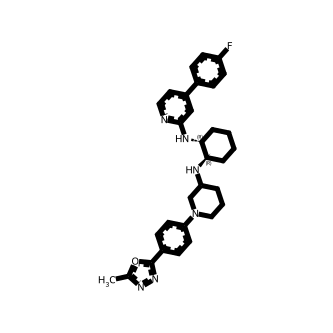 Cc1nnc(-c2ccc(N3CCCC(N[C@@H]4CCCC[C@H]4Nc4cc(-c5ccc(F)cc5)ccn4)C3)cc2)o1